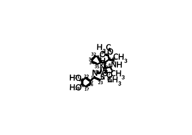 COC(=O)C1=C(C)NC(C)C(Nc2nc(-c3ccc(O)c(O)c3)cs2)(C(=O)OC)C1c1ccccc1